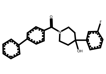 O=C(c1ccc(-c2ccccc2)cc1)N1CCC(O)(c2cccc(F)c2)CC1